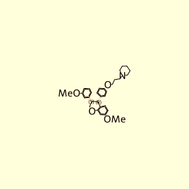 COc1cccc([C@H]2COc3cc(OC)ccc3[C@H]2c2ccc(OCCCN3CCCCC3)cc2)c1